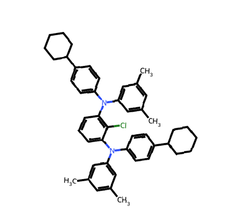 Cc1cc(C)cc(N(c2ccc(C3CCCCC3)cc2)c2cccc(N(c3ccc(C4CCCCC4)cc3)c3cc(C)cc(C)c3)c2Cl)c1